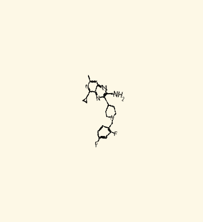 Cc1cc2nc(N)c(C3CCN(Cc4ccc(F)cc4F)CC3)nc2c(C2CC2)n1